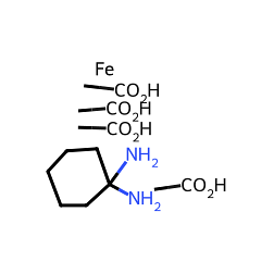 CC(=O)O.CC(=O)O.CC(=O)O.CC(=O)O.NC1(N)CCCCC1.[Fe]